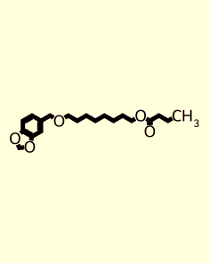 CCCC(=O)OCCCCCCCCOCc1ccc2c(c1)OCO2